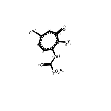 CCCc1ccc(NC(=O)C(=O)OCC)c(C(F)(F)F)c(=O)c1